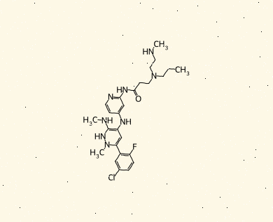 CCCN(CCNC)CCC(=O)Nc1cc(NC2=C(NC)NN(C)C(c3cc(Cl)ccc3F)=C2)ccn1